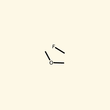 CF.COC